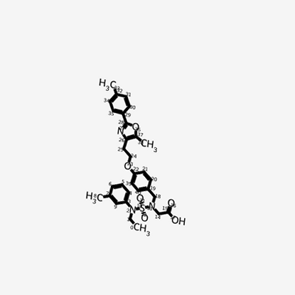 CCN(c1cccc(C)c1)S(=O)(=O)N(CC(=O)O)Cc1ccc(OCCc2nc(-c3ccc(C)cc3)oc2C)cc1